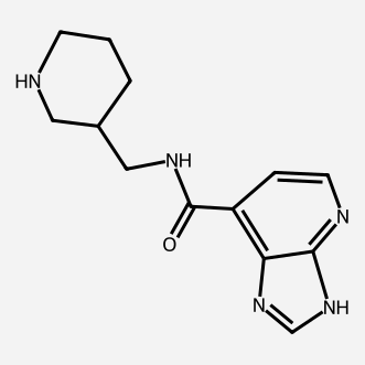 O=C(NCC1CCCNC1)c1ccnc2[nH]cnc12